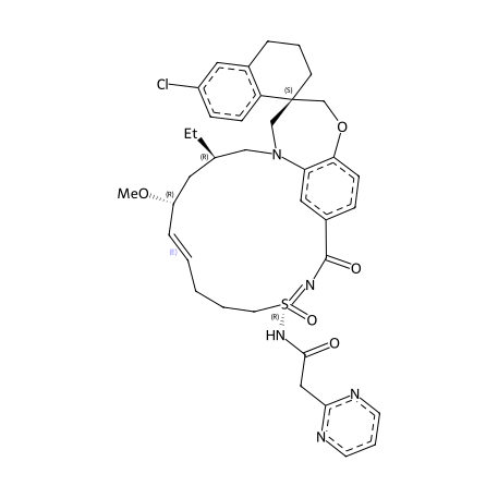 CC[C@@H]1C[C@@H](OC)/C=C/CCC[S@@](=O)(NC(=O)Cc2ncccn2)=NC(=O)c2ccc3c(c2)N(C1)C[C@@]1(CCCc2cc(Cl)ccc21)CO3